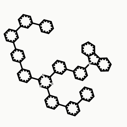 c1ccc(-c2cccc(-c3cccc(-c4ccc(-c5cccc(-c6nc(-c7cccc(-c8cccc(-c9ccccc9)c8)c7)nc(-c7cccc(-c8cccc(-n9c%10ccccc%10c%10ccccc%109)c8)c7)n6)c5)cc4)c3)c2)cc1